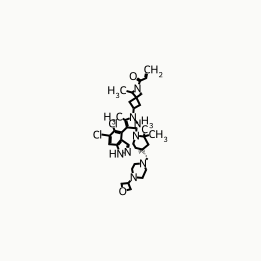 C=CC(=O)N1CC2(CC(n3nc(N4CC[C@@H](CN5CCN(C6COC6)CC5)CC4(C)C)c(-c4c(Cl)c(Cl)cc5[nH]ncc45)c3C)C2)C1C